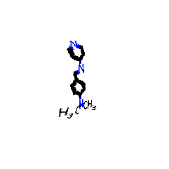 CN(C)c1ccc(C=Nc2ccncc2)cc1